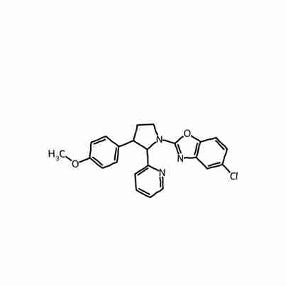 COc1ccc(C2CCN(c3nc4cc(Cl)ccc4o3)C2c2ccccn2)cc1